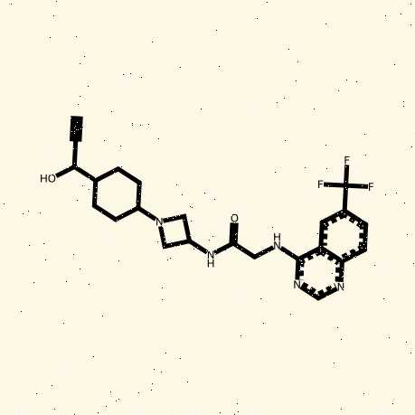 C#CC(O)C1CCC(N2CC(NC(=O)CNc3ncnc4ccc(C(F)(F)F)cc34)C2)CC1